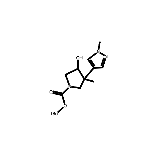 Cn1cc(C2(C)CN(C(=O)OC(C)(C)C)CC2O)cn1